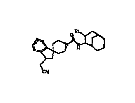 CCC1CC2CCCC(C2)C1NC(=O)N1CCC2(CC1)CC(CC#N)c1ccccc12